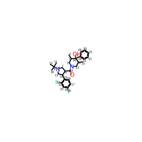 CC1CN(C(=O)C2CN(C(C)(C)C)CC2c2ccc(F)cc2F)CC(C)C1(O)c1ccccc1